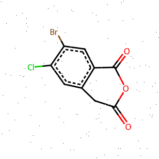 O=C1Cc2cc(Cl)c(Br)cc2C(=O)O1